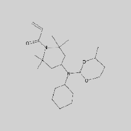 C=CC(=O)N1C(C)(C)CC(N(C2CCCCC2)P2OCCC(C)O2)CC1(C)C